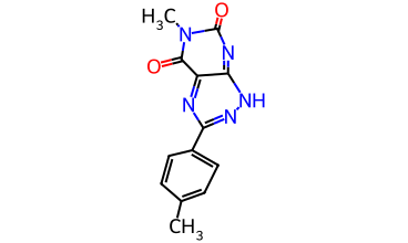 Cc1ccc(-c2n[nH]c3nc(=O)n(C)c(=O)c-3n2)cc1